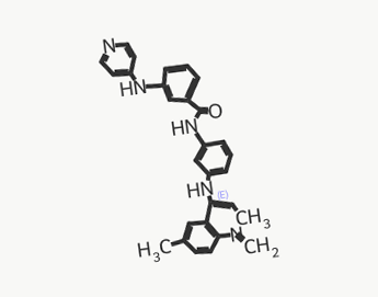 C=Nc1ccc(C)cc1/C(=C\C)Nc1cccc(NC(=O)c2cccc(Nc3ccncc3)c2)c1